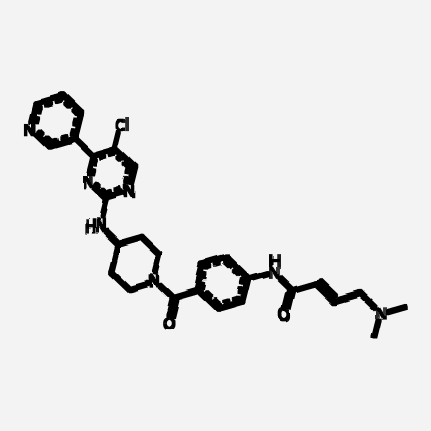 CN(C)CC=CC(=O)Nc1ccc(C(=O)N2CCC(Nc3ncc(Cl)c(-c4cccnc4)n3)CC2)cc1